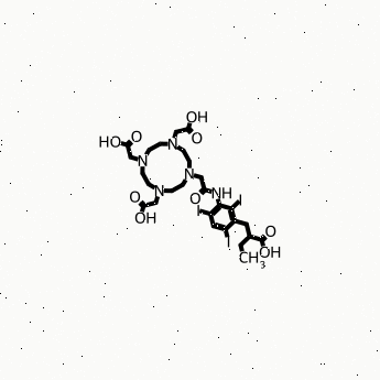 CCC(Cc1c(I)cc(I)c(NC(=O)CN2CCN(CC(=O)O)CCN(CC(=O)O)CCN(CC(=O)O)CC2)c1I)C(=O)O